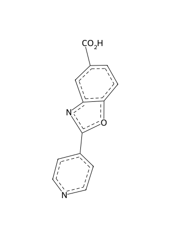 O=C(O)c1ccc2oc(-c3ccncc3)nc2c1